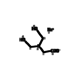 O=C([O-])CN(CO)CO.[Na+]